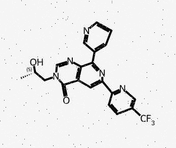 C[C@H](O)Cn1cnc2c(-c3cccnc3)nc(-c3ccc(C(F)(F)F)cn3)cc2c1=O